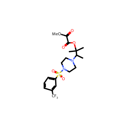 COC(=O)C(=O)OC(C)(C)C(C)N1CCN(S(=O)(=O)c2cccc(C(F)(F)F)c2)CC1